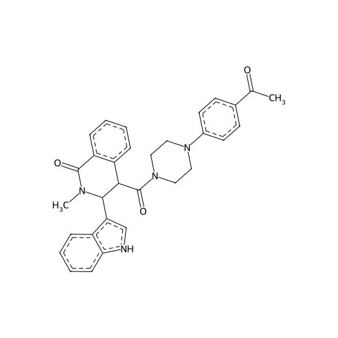 CC(=O)c1ccc(N2CCN(C(=O)C3c4ccccc4C(=O)N(C)C3c3c[nH]c4ccccc34)CC2)cc1